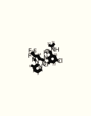 Cc1cccnc1-n1nc(C(F)(F)F)cc1C(=O)Nc1c(Cl)cc(Cl)cc1C(=O)NC(C)C